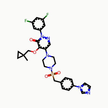 CC1(COc2c(N3CCN(S(=O)(=O)Cc4ccc(-n5ccnc5)cc4)CC3)cnn(-c3cc(F)cc(F)c3)c2=O)CC1